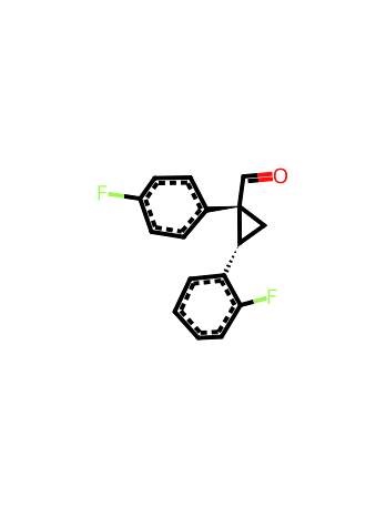 O=C[C@]1(c2ccc(F)cc2)C[C@@H]1c1ccccc1F